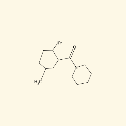 CC1CCC(C(C)C)C(C(=O)N2CCCCC2)C1